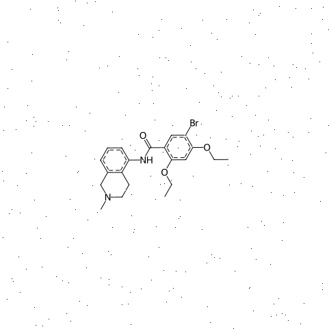 CCOc1cc(OCC)c(C(=O)Nc2cccc3c2CCN(C)C3)cc1Br